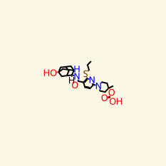 CCCSc1nc(N2CCC(C)(OC(=O)O)CC2)ccc1C(=O)N[C@H]1C2CC3CC1C[C@@](O)(C3)C2